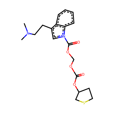 CN(C)CCc1cn(C(=O)OCOC(=O)OC2CCSC2)c2ccccc12